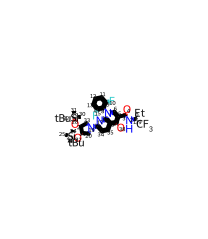 CC[C@@H](NC(=O)c1cn(-c2c(F)cccc2F)c2nc(N3C[C@@H](O[Si](C)(C)C(C)(C)C)[C@H](O[Si](C)(C)C(C)(C)C)C3)ccc2c1=O)C(F)(F)F